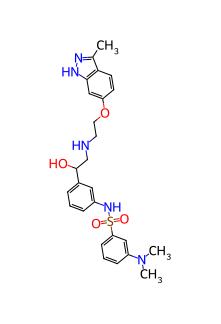 Cc1n[nH]c2cc(OCCNCC(O)c3cccc(NS(=O)(=O)c4cccc(N(C)C)c4)c3)ccc12